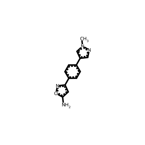 Cn1cc(-c2ccc(-c3cc(N)on3)cc2)cn1